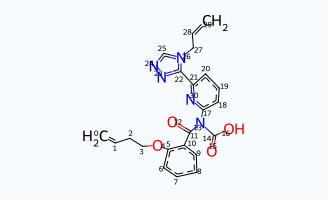 C=CCCOc1ccccc1C(=O)N(C(=O)O)c1cccc(-c2nncn2CC=C)n1